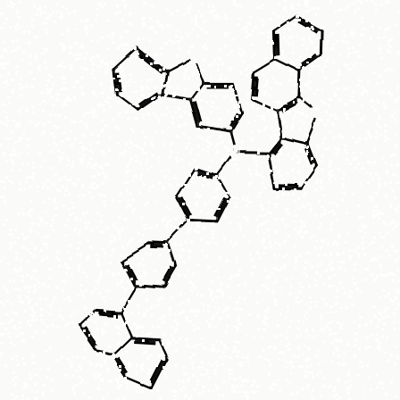 c1ccc2c(-c3ccc(-c4ccc(N(c5ccc6sc7ccccc7c6c5)c5cccc6oc7c8ccccc8ccc7c56)cc4)cc3)cccc2c1